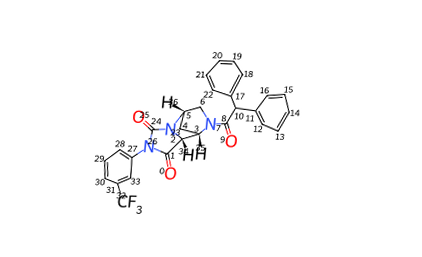 O=C1[C@H]2[C@@H]3C[C@@H](CN3C(=O)C(c3ccccc3)c3ccccc3)N2C(=O)N1c1cccc(C(F)(F)F)c1